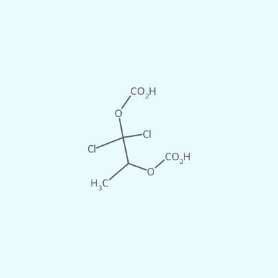 CC(OC(=O)O)C(Cl)(Cl)OC(=O)O